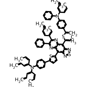 C=C/C=C\C(=C/C)c1nc2c(/C(=C/C)SC(=C)c3ccc(N(C(/C=C\C)=C/C=C)c4ccccc4)cc3)c3nsnc3c(-c3ccc(-c4ccc(N(C(/C=C\C)=C/C=C)C(/C=C\C)=C/C=C)cc4)s3)c2nc1-c1ccccc1